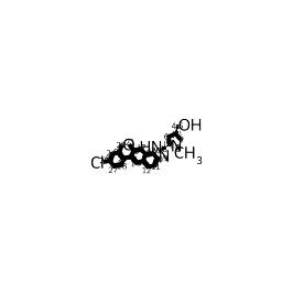 CN1C[C@H](CO)C[C@H]1c1nc2ccc3cc4c(cc3c2[nH]1)OCc1cc(Cl)ccc1-4